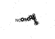 N#Cc1ccc(COc2ccc3c(c2)CCn2c-3cc(OCC3CCCO3)nc2=O)cc1